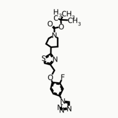 CC(C)(C)OC(=O)N1CCC(c2nc(COc3ccc(-n4cnnn4)cc3F)cs2)CC1